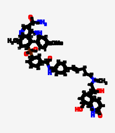 COc1cccc(Nc2c(C(N)=O)cnc3c(C)cc(S(=O)(=O)c4cccc(C(=O)Nc5ccc(C#CCCCN(C)C[C@H](O)c6ccc(O)c7[nH]c(=O)ccc67)cc5)c4)cc23)c1